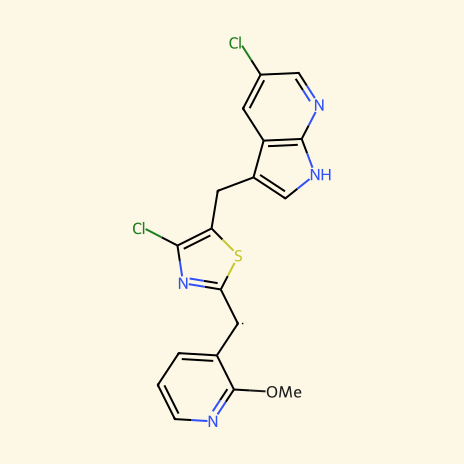 COc1ncccc1[CH]c1nc(Cl)c(Cc2c[nH]c3ncc(Cl)cc23)s1